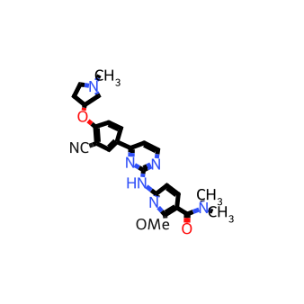 COc1nc(Nc2nccc(-c3ccc(OC4CCN(C)C4)c(C#N)c3)n2)ccc1C(=O)N(C)C